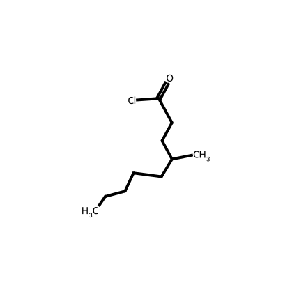 CCCCCC(C)CCC(=O)Cl